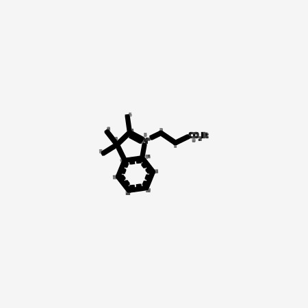 CCOC(=O)CC[N+]1=C(C)C(C)(C)c2ccccc21